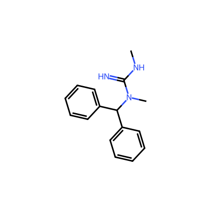 CNC(=N)N(C)C(c1ccccc1)c1ccccc1